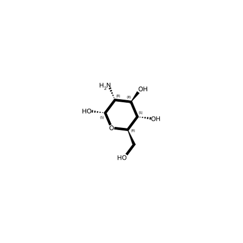 N[C@@H]1[C@@H](O)[C@H](O)[C@@H](CO)O[C@@H]1O